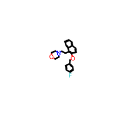 Fc1ccc(COc2ccc3ccccc3c2CCN2CCOCC2)cc1